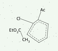 CC(=O)c1ccccc1Cl.CCOC(C)=O